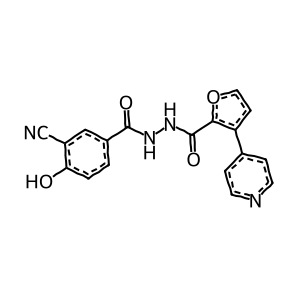 N#Cc1cc(C(=O)NNC(=O)c2occc2-c2ccncc2)ccc1O